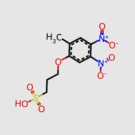 Cc1cc([N+](=O)[O-])c([N+](=O)[O-])cc1OCCCS(=O)(=O)O